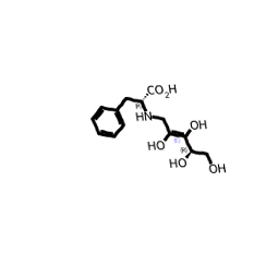 O=C(O)[C@@H](Cc1ccccc1)NC/C(O)=C(\O)[C@H](O)CO